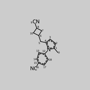 Cc1ccc(CC2CC(C#N)C2)n1-c1ccc(C#N)cc1